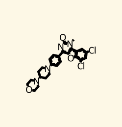 Cn1c(=O)nc(-c2ccc(N3CCC(N4CCOCC4)CC3)cc2)c2oc3c(Cl)cc(Cl)cc3c21